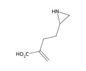 C=C(CCC1CN1)C(=O)O